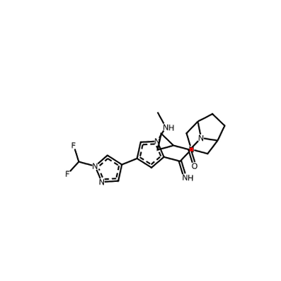 CNn1cc(-c2cnn(C(F)F)c2)cc1C(=N)N1CC2CCC(C1)N2C(=O)C1CC1